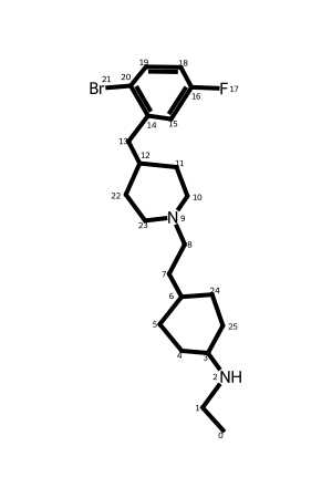 CCNC1CCC(CCN2CCC(Cc3cc(F)ccc3Br)CC2)CC1